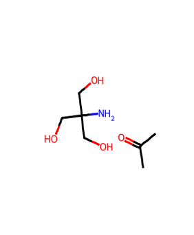 CC(C)=O.NC(CO)(CO)CO